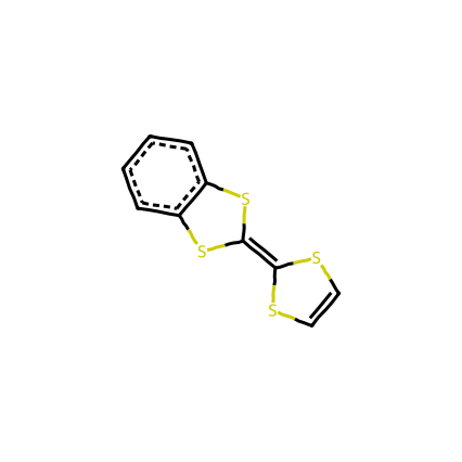 C1=CSC(=C2Sc3ccccc3S2)S1